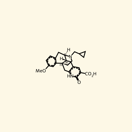 COc1ccc2c(c1)[C@]13CCN(CC4CC4)[C@H](C2)[C@@H]1Cc1cc(C(=O)O)c(=O)[nH]c1C3